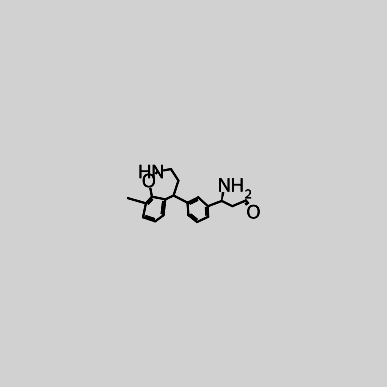 Cc1cccc2c1ONCCC2c1cccc([C@@H](N)CC=O)c1